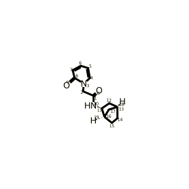 O=C(Cn1ccccc1=O)N[C@@H]1C[C@H]2CC[C@@H]1C2